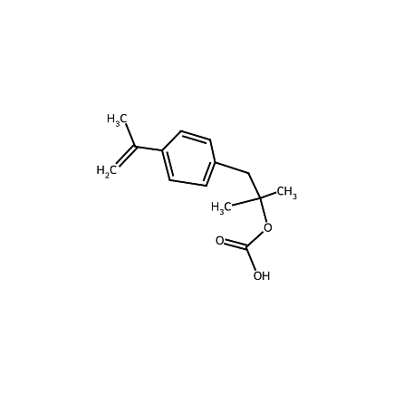 C=C(C)c1ccc(CC(C)(C)OC(=O)O)cc1